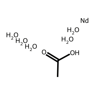 CC(=O)O.O.O.O.O.O.[Nd]